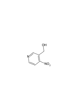 O=[N+]([O-])c1ccncc1CO